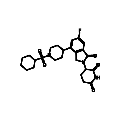 O=C1CCC(N2Cc3c(cc(F)cc3C3CCN(S(=O)(=O)C4CCCCC4)CC3)C2=O)C(=O)N1